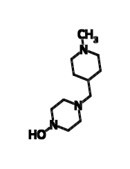 CN1CCC(CN2CCN(O)CC2)CC1